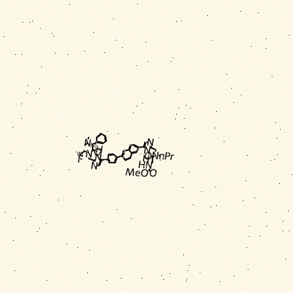 CCCN(Cc1ncc(-c2ccc3cc(-c4ccc(-c5cnc(CN(C[C@@H](C)F)C(=O)[C@@H](c6ccccc6)N(C)C)[nH]5)cc4)ccc3c2)[nH]1)C(=O)CNC(=O)OC